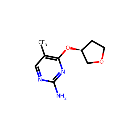 Nc1ncc(C(F)(F)F)c(O[C@H]2CCOC2)n1